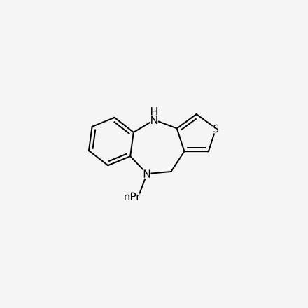 CCCN1Cc2cscc2Nc2ccccc21